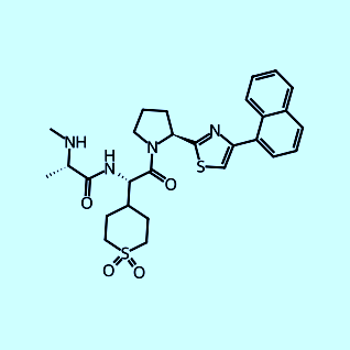 CN[C@@H](C)C(=O)N[C@H](C(=O)N1CCC[C@H]1c1nc(-c2cccc3ccccc23)cs1)C1CCS(=O)(=O)CC1